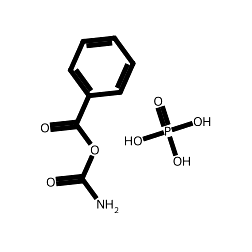 NC(=O)OC(=O)c1ccccc1.O=P(O)(O)O